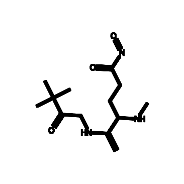 C=C(NCC(=O)C(C)(C)C)C(CCC(=O)N=O)NC